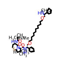 CNC(C)(C)C(=O)N[C@H]1CCS[C@H]2CC(C)(C)[C@@H](C(=O)N[C@H](COCCCCCCCCCCCCOC[C@@H](NC=O)c3ccccc3)c3ccccc3)N2C1=O